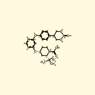 CC(C)(C)[C@@H]1C[C@H](Oc2cc(Oc3ccc(C4COS(=O)OC4)cc3)ncn2)CCN1C(=O)O